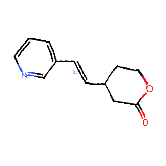 O=C1CC(/C=C/c2cccnc2)CCO1